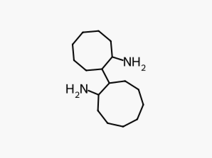 NC1CCCCCCCC1C1CCCCCCC1N